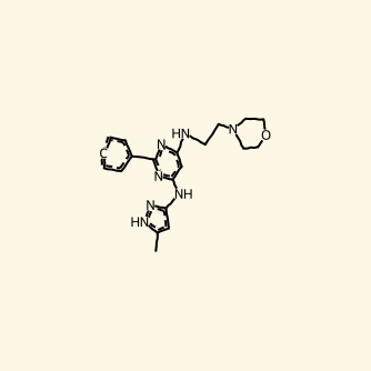 Cc1cc(Nc2cc(NCCN3CCOCC3)nc(-c3ccccc3)n2)n[nH]1